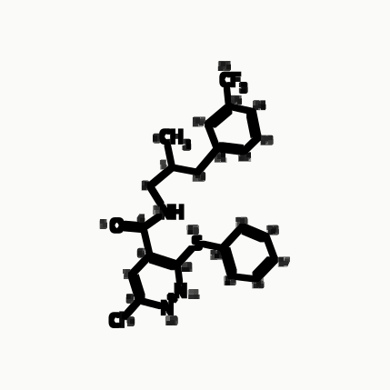 CC(CNC(=O)c1cc(Cl)nnc1Sc1ccccc1)Cc1cccc(C(F)(F)F)c1